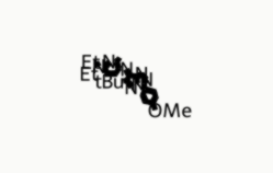 CCN(CC)c1ccc(/N=C2\C(C(C)(C)C)=Nn3c2nnc3-c2ccc(OC)cc2)c(C)n1